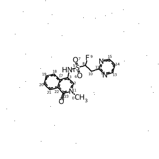 Cn1cc(NS(=O)(=O)C(F)Cc2ncccn2)c2ccccc2c1=O